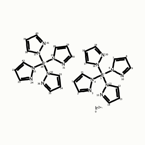 [Ir+2].c1cnn([B-](n2cccn2)(n2cccn2)n2cccn2)c1.c1cnn([B-](n2cccn2)(n2cccn2)n2cccn2)c1